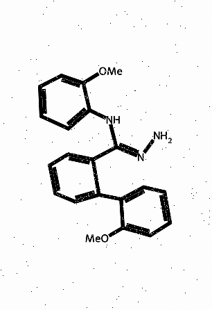 COc1ccccc1N/C(=N\N)c1ccccc1-c1ccccc1OC